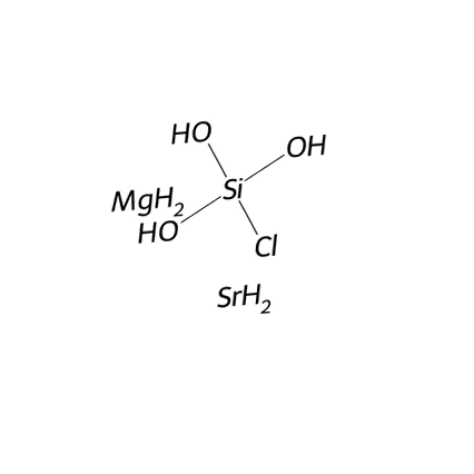 O[Si](O)(O)Cl.[MgH2].[SrH2]